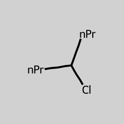 CCCC(Cl)CCC